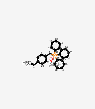 C=Cc1ccc(CP(OS(=O)(=O)O)(c2ccccc2)(c2ccccc2)c2ccccc2)cc1